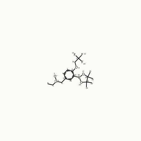 CC[S+]([O-])Cc1ccc(OCC(F)(F)F)c(B2OC(C)(C)C(C)(C)O2)c1